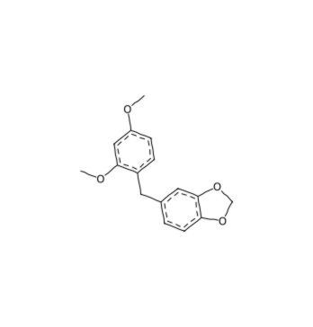 COc1ccc(Cc2ccc3c(c2)OCO3)c(OC)c1